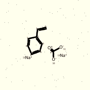 C=Cc1ccccc1.O=C([O-])[O-].[Na+].[Na+]